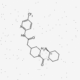 N[C@H]1CCCC[C@@H]1C(=O)N1CCC(CC(=O)Nc2ccc(C(F)(F)F)cn2)CC1